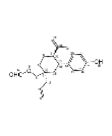 C=CC[C@]1(COC=O)CC[C@@H](C(=C)C)[C@H](c2ccc(O)cc2)C1